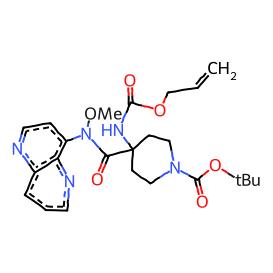 C=CCOC(=O)NC1(C(=O)N(OC)c2ccnc3cccnc23)CCN(C(=O)OC(C)(C)C)CC1